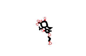 COCCCOc1cc2c(cc1C)C1=C(/C=C(/C(=O)O)CC(=O)CCC1C1CC1)C(C(C)C)O2